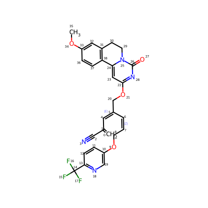 C=C(C#N)/C=C(\C=C/COc1ccc(C(F)(F)F)nc1)COc1cc2n(c(=O)n1)CCc1cc(OC)ccc1-2